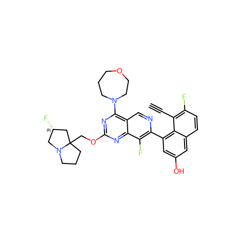 C#Cc1c(F)ccc2cc(O)cc(-c3ncc4c(N5CCCOCC5)nc(OCC56CCCN5C[C@H](F)C6)nc4c3F)c12